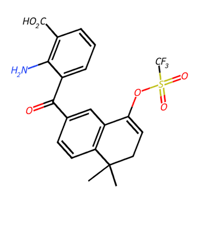 CC1(C)CC=C(OS(=O)(=O)C(F)(F)F)c2cc(C(=O)c3cccc(C(=O)O)c3N)ccc21